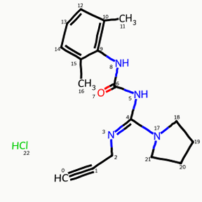 C#CCN=C(NC(=O)Nc1c(C)cccc1C)N1CCCC1.Cl